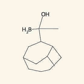 BC(C)(O)C1CC2CCCCC1C(C)C2